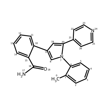 Cc1ccccc1-n1cc(-c2ccccc2C(N)=O)cc1-c1ccncc1